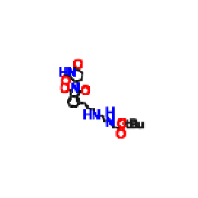 CC(C)(C)OC(=O)CNCCNCCCc1cccc2c1C(=O)N(C1CCC(=O)NC1=O)C2=O